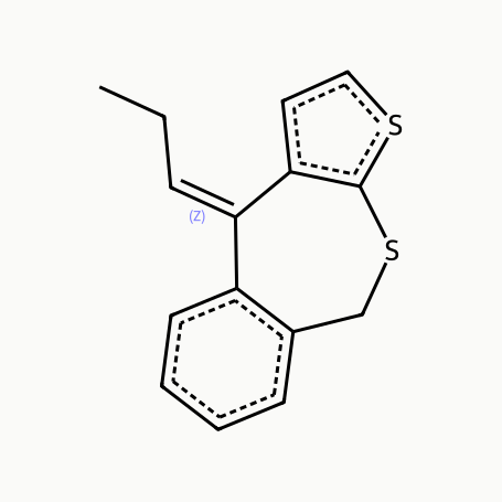 CC/C=C1/c2ccccc2CSc2sccc21